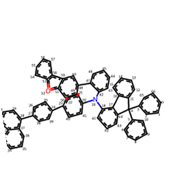 c1ccc(C2(c3ccccc3)c3ccccc3-c3c(N(c4ccc(-c5ccc(-c6cccc7ccccc67)cc5)cc4)c4ccccc4-c4ccc5oc6ccccc6c5c4)cccc32)cc1